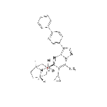 CC12CC[C@@H](C[C@H](c3nc4c(-c5ccc(-c6ccccc6)nc5)cnn4c(N)c3C3CC3)C1)N2C(N)=O